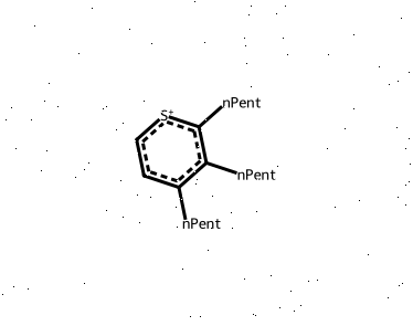 CCCCCc1cc[s+]c(CCCCC)c1CCCCC